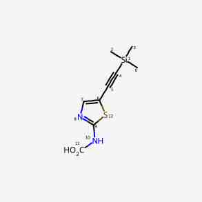 C[Si](C)(C)C#Cc1cnc(NC(=O)O)s1